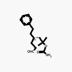 CC(C)(C[C@H](CCC=O)CCc1ccccc1)OC(N)=O